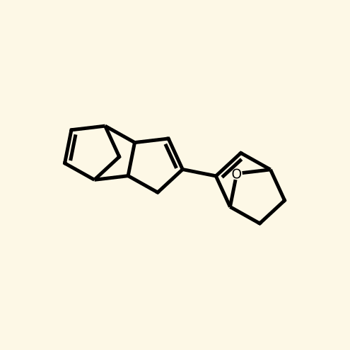 C1=CC2CC1C1C=C(C3=CC4CCC3O4)CC21